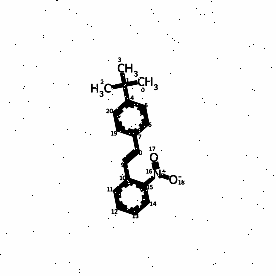 CC(C)(C)c1ccc(/C=C/c2ccccc2[N+](=O)[O-])cc1